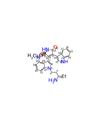 CCC(N)CCn1cc(C2=C(c3c[nH]c4ccccc34)C(=O)NC2=O)c2c(N(C)C)cccc21